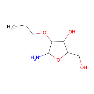 CCCOC1C(N)OC(CO)C1O